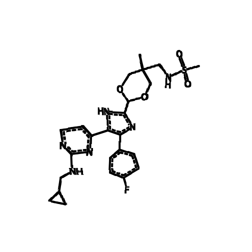 CC1(CNS(C)(=O)=O)COC(c2nc(-c3ccc(F)cc3)c(-c3ccnc(NCC4CC4)n3)[nH]2)OC1